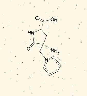 N[C@@]1(C[n+]2ccccc2)C[C@@H](C(=O)O)NC1=O